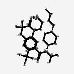 COCC[C@H]1CC[C@@H](N(C(=O)c2cc3c(cc2C(F)(F)F)OC(C)(C)C(=O)N3CCN)C(C)C)CC1